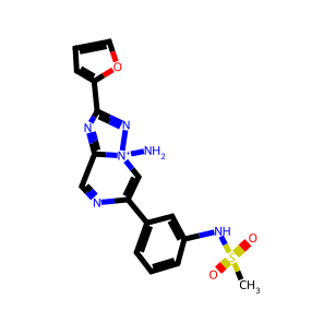 CS(=O)(=O)Nc1cccc(C2=C[N+]3(N)N=C(c4ccco4)N=C3C=N2)c1